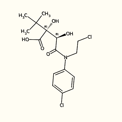 CC(C)(C)[C@](O)(C(=O)O)[C@@H](O)C(=O)N(CCCl)c1ccc(Cl)cc1